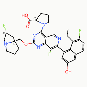 CCc1c(F)ccc2cc(O)cc(-c3ncc4c(N5CCC[C@H]5C(=O)O)nc(OC[C@@]56CCCN5C[C@H](F)C6)nc4c3F)c12